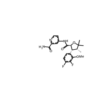 COc1c([C@@H]2[C@@H](C(=O)Nc3ccnc(C(N)=O)c3)OC(C)(C)[C@@H]2C)ccc(F)c1F